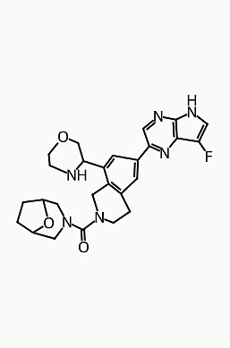 O=C(N1CCc2cc(-c3cnc4[nH]cc(F)c4n3)cc(C3COCCN3)c2C1)N1CC2CCC(C1)O2